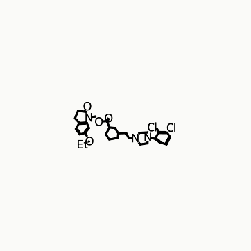 CCOc1ccc2c(c1)N(COC(=O)C1CCCC(CCN3CCN(c4cccc(Cl)c4Cl)CC3)C1)C(=O)CC2